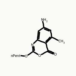 CCCCCOc1nc2cc(N)cc(C)c2c(=O)o1